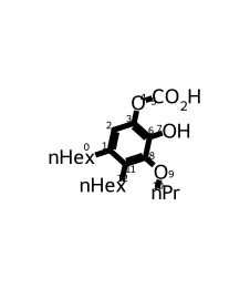 CCCCCCc1cc(OC(=O)O)c(O)c(OCCC)c1CCCCCC